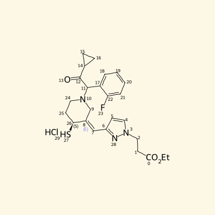 CCOC(=O)CCn1ccc(/C=C2\CN(C(C(=O)C3CC3)c3ccccc3F)CC[C@@H]2S)n1.Cl